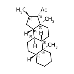 CC(=O)[C@H]1[C@H](C)C[C@H]2[C@@H]3CC[C@H]4CCCC[C@]4(C)[C@H]3CC[C@@]21C